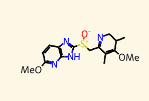 COC1=C(C)C(C[S+]([O-])c2nc3ccc(OC)nc3[nH]2)=NCC1C